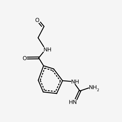 N=C(N)Nc1cccc(C(=O)NCC=O)c1